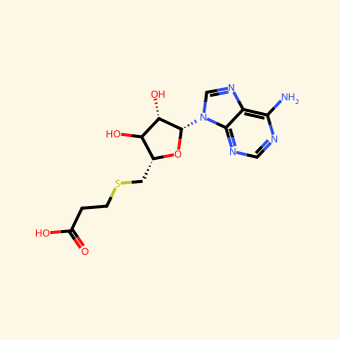 Nc1ncnc2c1ncn2[C@@H]1O[C@H](CSCCC(=O)O)C(O)[C@@H]1O